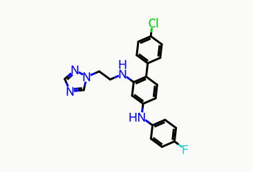 Fc1ccc(Nc2ccc(-c3ccc(Cl)cc3)c(NCCn3cncn3)c2)cc1